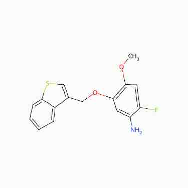 COc1cc(F)c(N)cc1OCc1csc2ccccc12